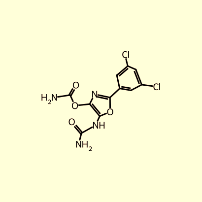 NC(=O)Nc1oc(-c2cc(Cl)cc(Cl)c2)nc1OC(N)=O